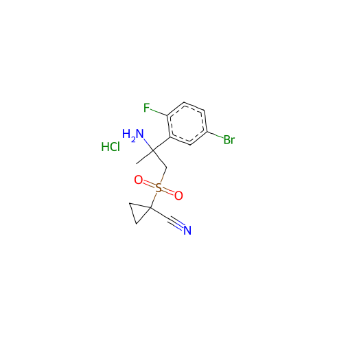 CC(N)(CS(=O)(=O)C1(C#N)CC1)c1cc(Br)ccc1F.Cl